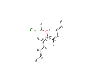 CC=CC=[C](C)[Hf+]([O]CC)[C](C)=CC=CC.[Cl-]